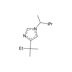 CCC(C)(C)c1cn(C(C)C(C)C)cn1